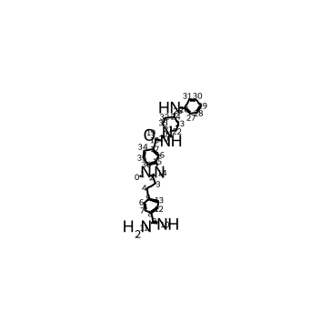 Cn1c(CCc2ccc(C(=N)N)cc2)nc2cc(C(=O)NN3CCC(Nc4ccccc4)CC3)ccc21